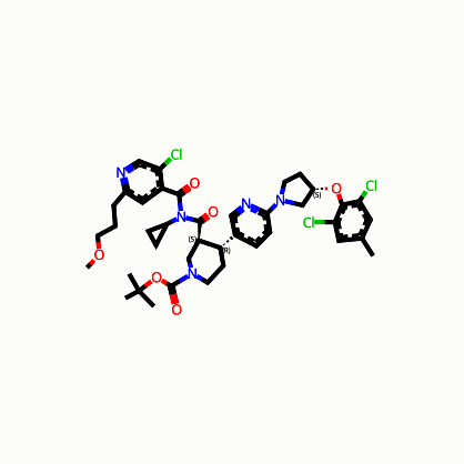 COCCCc1cc(C(=O)N(C(=O)[C@@H]2CN(C(=O)OC(C)(C)C)CC[C@H]2c2ccc(N3CC[C@H](Oc4c(Cl)cc(C)cc4Cl)C3)nc2)C2CC2)c(Cl)cn1